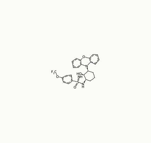 N=S(=O)(N[C@@H]1CCC[C@H](N2c3ccccc3Oc3ccccc32)[C@@H]1O)c1ccc(OC(F)(F)F)cc1